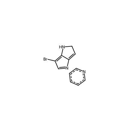 BrC1=C2NCC=C2N=C1.c1ccncc1